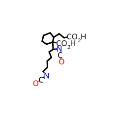 O=C=NCCCCCC(N=C=O)C1(C(=O)O)CCCCC1CCC(=O)O